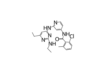 CCNc1nc(CC)cc(Nc2cc(NC(=O)c3c(C)cccc3Cl)ccn2)n1